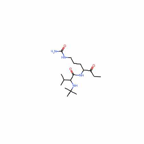 CCC(=O)C(CCCNC(N)=O)NC(=O)C(NC(C)(C)C)C(C)C